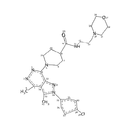 Cc1nnc(N2CCC(C(=O)NCCN3CCOCC3)CC2)c2nn(-c3ccc(Cl)cc3)c(C)c12